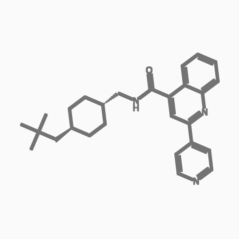 CC(C)(C)[CH][C@H]1CC[C@H](CNC(=O)c2cc(-c3ccncc3)nc3ccccc23)CC1